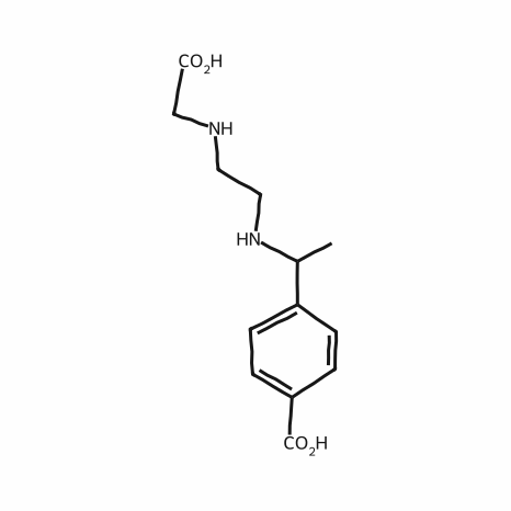 CC(NCCNCC(=O)O)c1ccc(C(=O)O)cc1